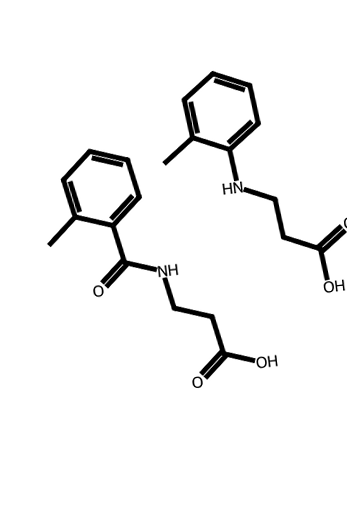 Cc1ccccc1C(=O)NCCC(=O)O.Cc1ccccc1NCCC(=O)O